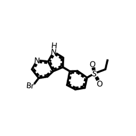 CCS(=O)(=O)c1cccc(-c2c[nH]c3ncc(Br)cc23)c1